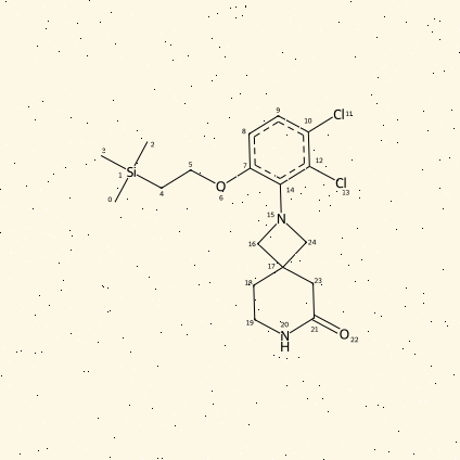 C[Si](C)(C)CCOc1ccc(Cl)c(Cl)c1N1CC2(CCNC(=O)C2)C1